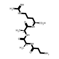 C[C@H](NC(=O)CCN)C(=O)N[C@@H](C)C(=O)N[C@@H](CCCNC(=N)N)C(=O)O